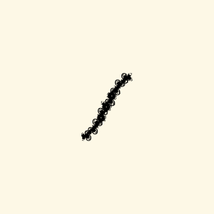 C=C(C)C(=O)OCOC(=O)/C=C/C(=O)Oc1ccc(C(=O)Oc2ccc(OC(=O)c3ccc(OC(=O)/C=C/C(=O)OCOC(=O)C(=C)C)cc3)c(C)c2)cc1